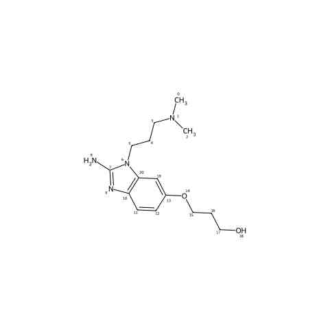 CN(C)CCCn1c(N)nc2ccc(OCCCO)cc21